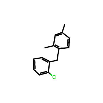 Cc1ccc(Cc2ccccc2Cl)c(C)c1